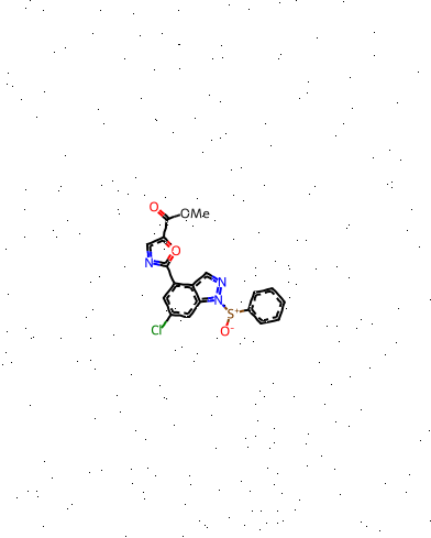 COC(=O)c1cnc(-c2cc(Cl)cc3c2cnn3[S+]([O-])c2ccccc2)o1